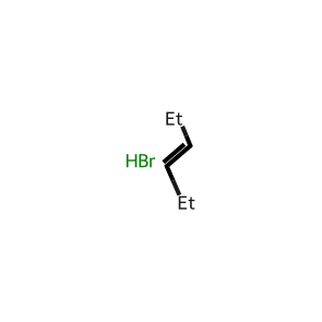 Br.CCC=CCC